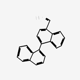 C=Cc1ccc(-c2cccc3ccccc23)c2ccccc12